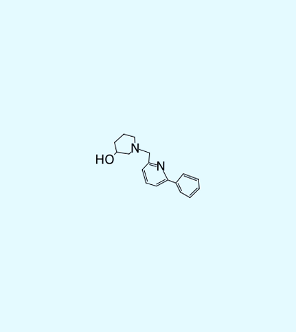 OC1CCCN(Cc2cccc(-c3ccccc3)n2)C1